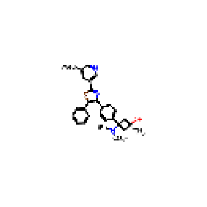 COc1cncc(-c2nc(-c3ccc([C@]4(N(C(=O)O)C(C)(C)C)C[C@@](C)(O)C4)cc3)c(-c3ccccc3)s2)c1